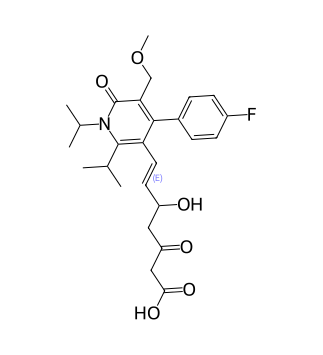 COCc1c(-c2ccc(F)cc2)c(/C=C/C(O)CC(=O)CC(=O)O)c(C(C)C)n(C(C)C)c1=O